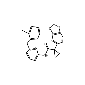 Cc1ccccc1Cc1cccc(NC(=O)C2(c3ccc4c(c3)OCO4)CC2)n1